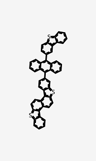 c1ccc2c(c1)sc1ccc(-c3c4ccccc4c(-c4ccc5c(c4)sc4ccc6c(ccc7sc8ccccc8c76)c45)c4ccccc34)cc12